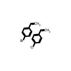 C=Cc1ccc(Br)cc1.C=Cc1ccc(Cl)cc1